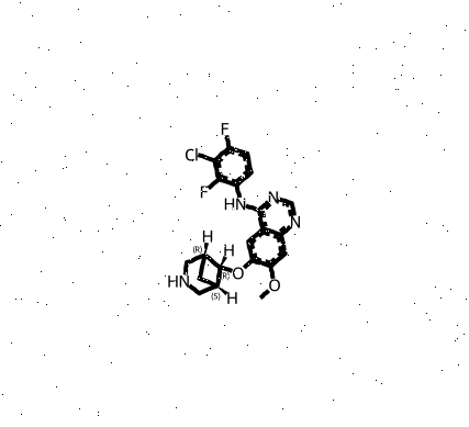 COc1cc2ncnc(Nc3ccc(F)c(Cl)c3F)c2cc1O[C@@H]1[C@@H]2CNC[C@H]1C2